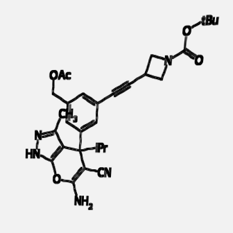 CC(=O)OCc1cc(C#CC2CN(C(=O)OC(C)(C)C)C2)cc(C2(C(C)C)C(C#N)=C(N)Oc3[nH]nc(C)c32)c1